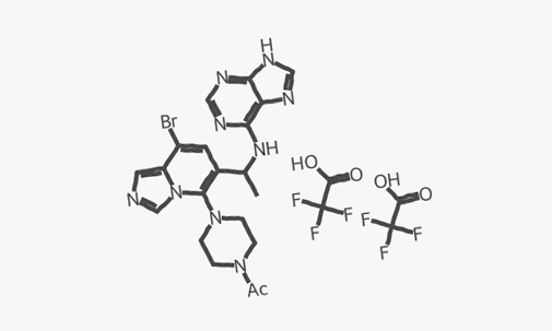 CC(=O)N1CCN(c2c(C(C)Nc3ncnc4[nH]cnc34)cc(Br)c3cncn23)CC1.O=C(O)C(F)(F)F.O=C(O)C(F)(F)F